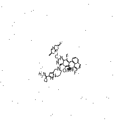 C#Cc1c(F)ccc2cccc(-c3c(F)c(OC)c4c(N5CCCn6nc(C(N)=O)cc6C5)nc(OC[C@]56CC(=C)CN5C[C@@H](F)C6)nc4c3F)c12